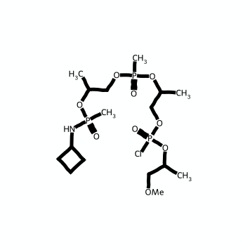 COCC(C)OP(=O)(Cl)OCC(C)OP(C)(=O)OCC(C)OP(C)(=O)NC1CCC1